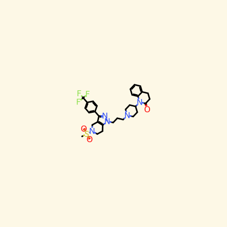 CS(=O)(=O)N1CCc2c(c(-c3ccc(C(F)(F)F)cc3)nn2CCCN2CCC(N3C(=O)CCc4ccccc43)CC2)C1